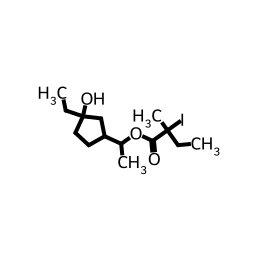 CCC1(O)CCC(C(C)OC(=O)C(C)(I)CC)C1